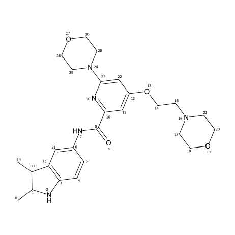 CC1Nc2ccc(NC(=O)c3cc(OCCN4CCOCC4)cc(N4CCOCC4)n3)cc2C1C